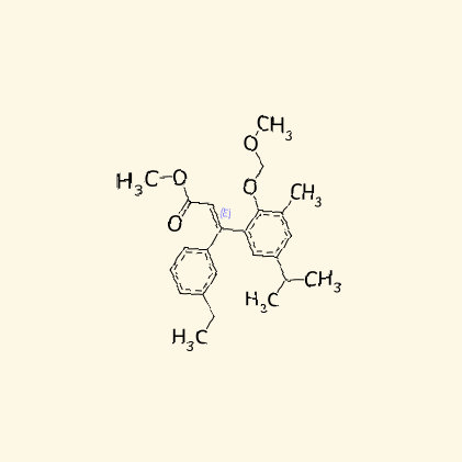 CCc1cccc(/C(=C\C(=O)OC)c2cc(C(C)C)cc(C)c2OCOC)c1